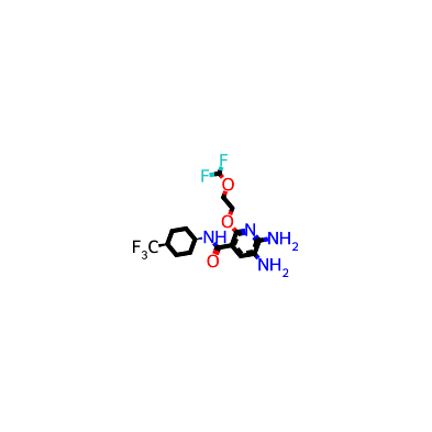 Nc1cc(C(=O)N[C@H]2CC[C@H](C(F)(F)F)CC2)c(OCCOC(F)F)nc1N